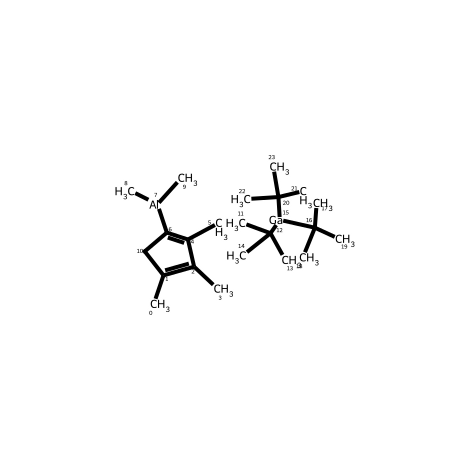 CC1=C(C)C(C)=[C]([Al]([CH3])[CH3])C1.C[C](C)(C)[Ga]([C](C)(C)C)[C](C)(C)C